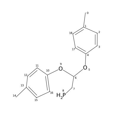 Cc1ccc(OC(CP)Oc2ccc(C)cc2)cc1